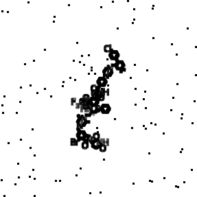 CC1CN(Cc2cc(Br)c3c(c2)CN(C2CCC(=O)NC2=O)C3=O)CC(C)N1CC[C@H](CSc1ccccc1)Nc1ccc(S(=O)(=O)NC(=O)c2ccc(N3CCN(CC4=C(c5ccc(Cl)cc5)CCC(C)(C)C4)CC3)cc2)cc1S(=O)(=O)C(F)(F)F